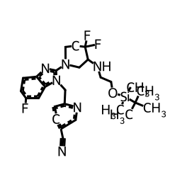 CC(C)(C)[Si](C)(C)OCCNC1CN(c2nc3ccc(F)cc3n2Cc2ccc(C#N)cn2)CCC1(F)F